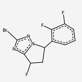 Fc1cccc(C2CC(F)c3nc(Br)nn32)c1F